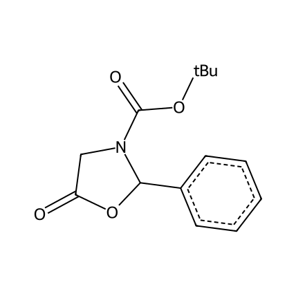 CC(C)(C)OC(=O)N1CC(=O)OC1c1ccccc1